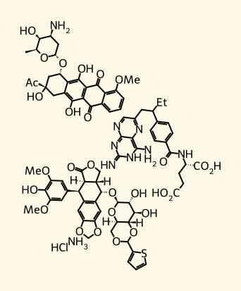 CCC(Cc1cnc2nc(=N)[nH]c(N)c2n1)c1ccc(C(=O)N[C@@H](CCC(=O)O)C(=O)O)cc1.COc1cc([C@@H]2c3cc4c(cc3[C@@H](O[C@@H]3O[C@@H]5COC(c6cccs6)O[C@H]5[C@H](O)[C@H]3O)[C@H]3COC(=O)[C@H]23)OCO4)cc(OC)c1O.COc1cccc2c1C(=O)c1c(O)c3c(c(O)c1C2=O)C[C@@](O)(C(C)=O)C[C@@H]3O[C@H]1C[C@H](N)[C@H](O)[C@H](C)O1.Cl.N